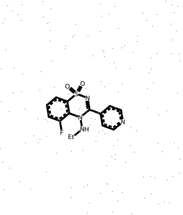 CCNN1C(c2ccncc2)=NS(=O)(=O)c2cccc(F)c21